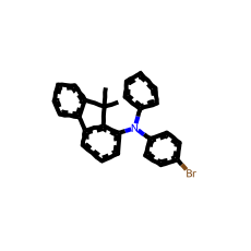 CC1(C)c2ccccc2-c2cccc(N(c3ccccc3)c3ccc(Br)cc3)c21